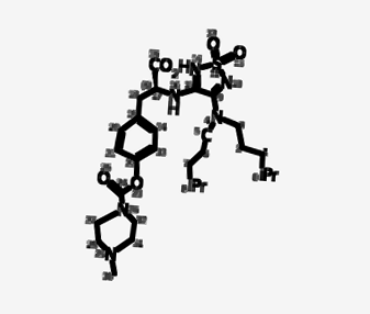 CC(C)CCCN(CCCC(C)C)C1=NS(=O)(=O)N=C1N[C@@H](Cc1ccc(OC(=O)N2CCN(C)CC2)cc1)C(=O)O